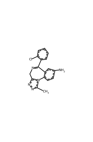 Cc1nnc2n1-c1ccc(N)cc1C(c1ccccc1Cl)=NC2